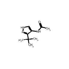 CC(=O)Nc1c[nH]nc1C(C)(C)C